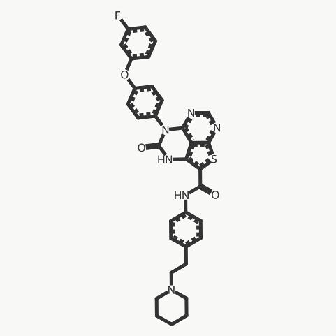 O=C(Nc1ccc(CCN2CCCCC2)cc1)c1sc2ncnc3c2c1NC(=O)N3c1ccc(Oc2cccc(F)c2)cc1